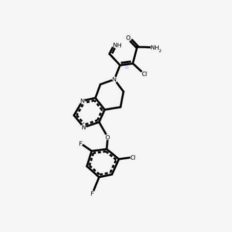 N=C/C(=C(/Cl)C(N)=O)N1CCc2c(ncnc2Oc2c(F)cc(F)cc2Cl)C1